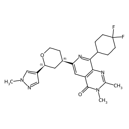 Cc1nc2c(C3CCC(F)(F)CC3)nc([C@@H]3CCO[C@H](c4cnn(C)c4)C3)cc2c(=O)n1C